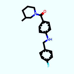 CC1CCCN(C(=O)c2ccc(NCc3ccc(F)cc3)cc2)C1